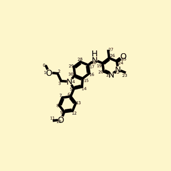 COCCn1c(-c2ccc(OC)cc2)cc2cc(Nc3cnn(C)c(=O)c3C)ccc21